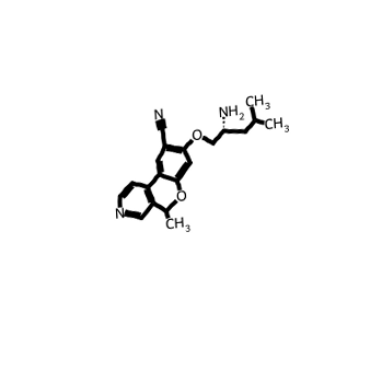 CC(C)C[C@@H](N)COc1cc2c(cc1C#N)-c1ccncc1C(C)O2